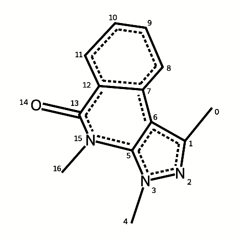 Cc1nn(C)c2c1c1ccccc1c(=O)n2C